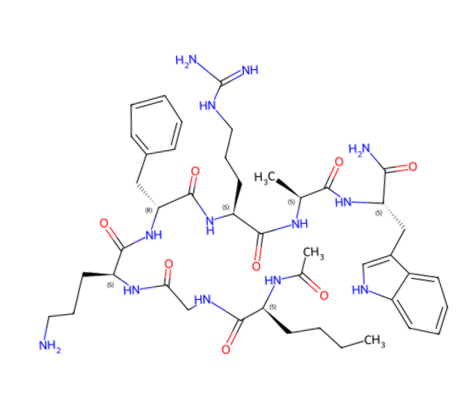 CCCC[C@H](NC(C)=O)C(=O)NCC(=O)N[C@@H](CCCN)C(=O)N[C@H](Cc1ccccc1)C(=O)N[C@@H](CCCNC(=N)N)C(=O)N[C@@H](C)C(=O)N[C@@H](Cc1c[nH]c2ccccc12)C(N)=O